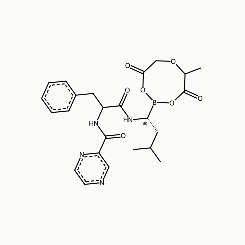 CC(C)C[C@H](NC(=O)C(Cc1ccccc1)NC(=O)c1cnccn1)B1OC(=O)COC(C)C(=O)O1